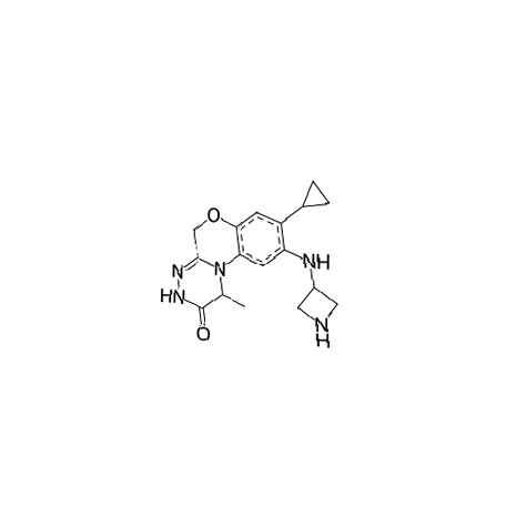 CC1C(=O)NN=C2COc3cc(C4CC4)c(NC4CNC4)cc3N21